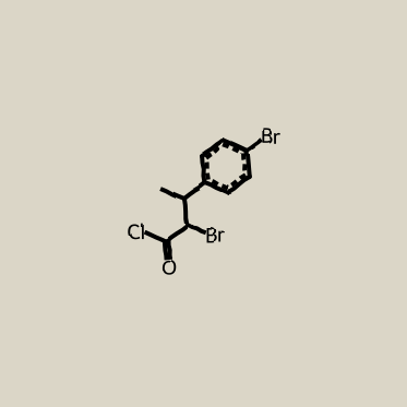 CC(c1ccc(Br)cc1)C(Br)C(=O)Cl